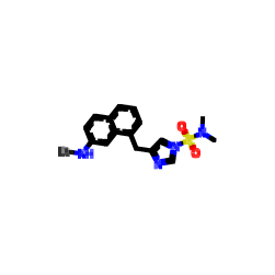 CCNc1ccc2cccc(Cc3cn(S(=O)(=O)N(C)C)cn3)c2c1